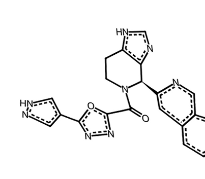 O=C(c1nnc(-c2cn[nH]c2)o1)N1CCc2[nH]cnc2[C@H]1c1cc2ccccc2cn1